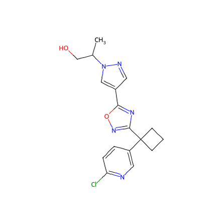 CC(CO)n1cc(-c2nc(C3(c4ccc(Cl)nc4)CCC3)no2)cn1